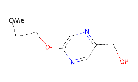 COCCOc1cnc(CO)cn1